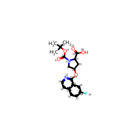 CC(C)(C)OC(=O)N1CC(Oc2nccc3ccc(F)cc23)CC1C(=O)O